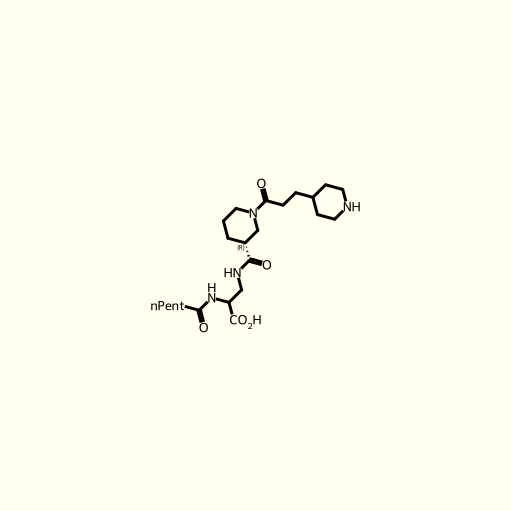 CCCCCC(=O)NC(CNC(=O)[C@@H]1CCCN(C(=O)CCC2CCNCC2)C1)C(=O)O